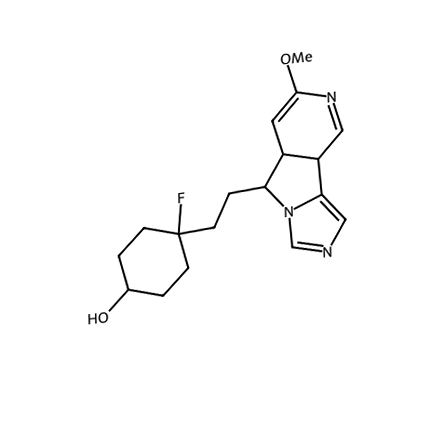 COC1=CC2C(C=N1)c1cncn1C2CCC1(F)CCC(O)CC1